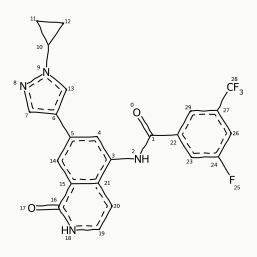 O=C(Nc1cc(-c2cnn(C3CC3)c2)cc2c(=O)[nH]ccc12)c1cc(F)cc(C(F)(F)F)c1